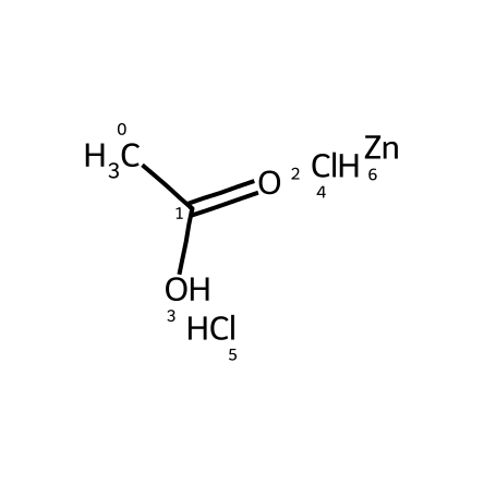 CC(=O)O.Cl.Cl.[Zn]